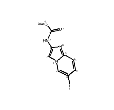 COC(=O)Nc1cn2cc(I)ccc2n1